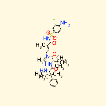 CN[C@H](C(=O)NC(C(=O)N(C)C/C=C(\C)C(=O)NS(=O)(=O)c1ccc(N)c(F)c1)C(C)(C)C)C(C)(C)c1ccccc1